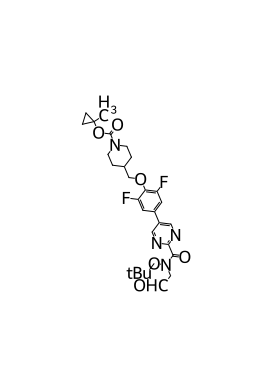 CC(C)(C)ON(CC=O)C(=O)c1ncc(-c2cc(F)c(OCC3CCN(C(=O)OC4(C)CC4)CC3)c(F)c2)cn1